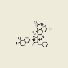 N/C(Cl)=C\N(N)c1ccc(Cl)cc1-c1cc(=O)n(C(Cc2ccccc2)C(=O)Nc2ccc3c(c2)CCNC3=O)cn1